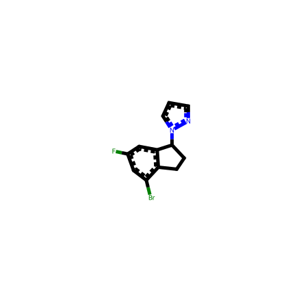 Fc1cc(Br)c2c(c1)C(n1cccn1)CC2